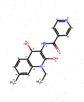 CCN1C(O)=C(NC(=O)c2ccncc2)C(O)c2ccc(C)cc21